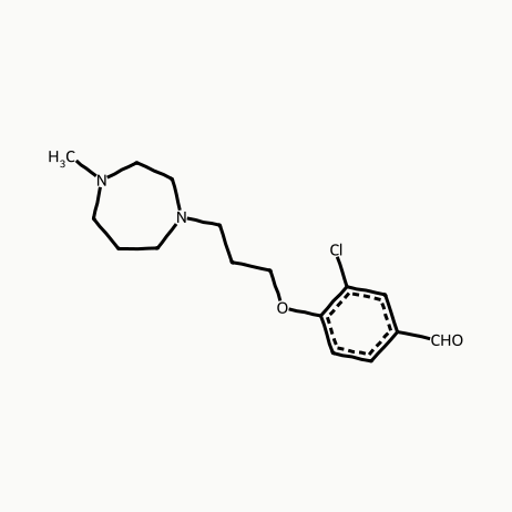 CN1CCCN(CCCOc2ccc(C=O)cc2Cl)CC1